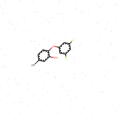 O=Nc1ccc(Oc2cc(F)cc(F)c2)c(O)c1